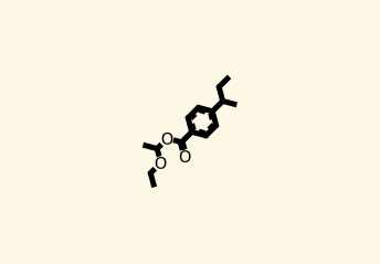 CCOC(C)OC(=O)c1ccc(C(C)CC)cc1